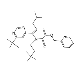 CC(C)Cc1cc(OCc2ccccc2)c(=O)n(CCC(C)(C)C)c1-c1ccnc(C(C)(C)C)c1